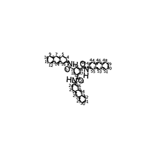 O=C(Nc1ccc2cc3ccccc3cc2c1)c1cc(C(=O)Nc2ccc3cc4ccccc4cc3c2)cc(C(=O)Nc2ccc3cc4ccccc4cc3c2)c1